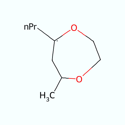 CCC[C]1CC(C)OCCO1